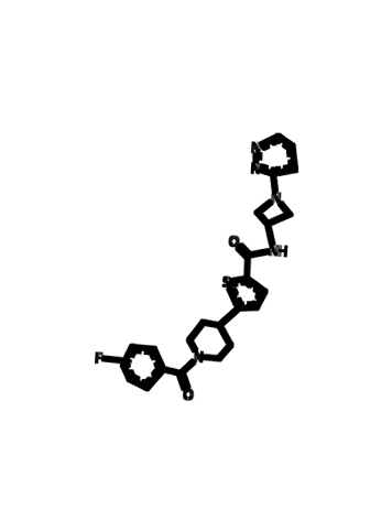 O=C(NC1CN(c2cccnn2)C1)c1ccc(C2CCN(C(=O)c3ccc(F)cc3)CC2)s1